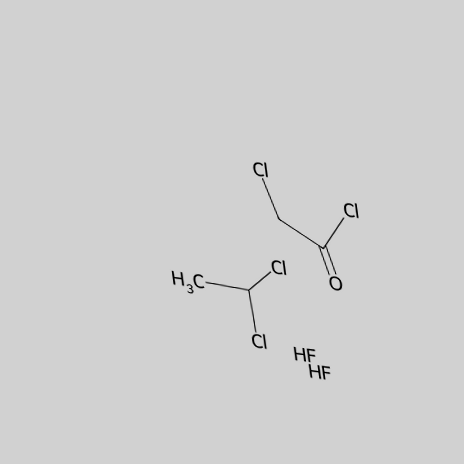 CC(Cl)Cl.F.F.O=C(Cl)CCl